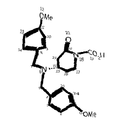 COc1ccc(CN(Cc2ccc(OC)cc2)[C@H]2CCN(C(=O)O)C(=O)C2)cc1